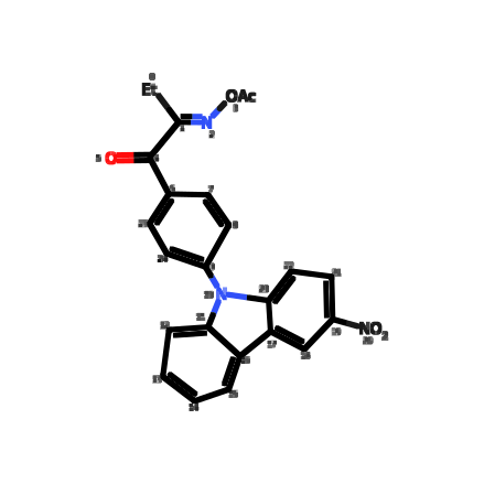 CCC(=NOC(C)=O)C(=O)c1ccc(-n2c3ccccc3c3cc([N+](=O)[O-])ccc32)cc1